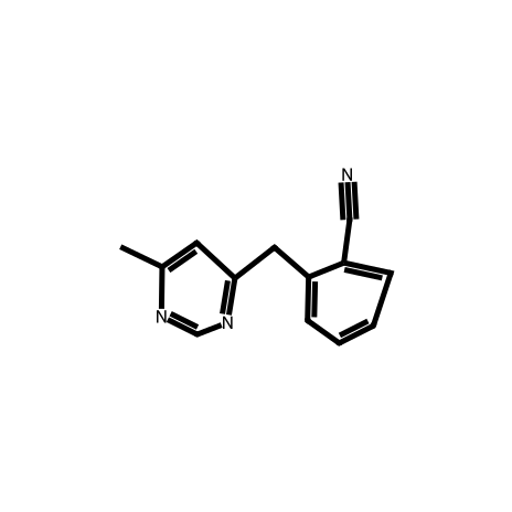 Cc1cc(Cc2ccccc2C#N)ncn1